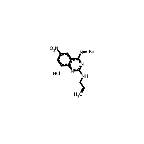 C=CCNc1nc(NC(C)(C)C)c2cc([N+](=O)[O-])ccc2n1.Cl